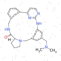 CN(C)Cc1cc2cc(c1)Nc1nccc(n1)-c1cccc(c1)CNC(=O)[C@@H]1CCCN1C2